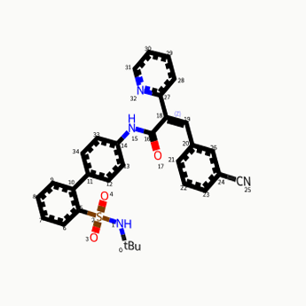 CC(C)(C)NS(=O)(=O)c1ccccc1-c1ccc(NC(=O)/C(=C\c2cccc(C#N)c2)c2ccccn2)cc1